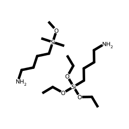 CCO[Si](CCCCN)(OCC)OCC.CO[Si](C)(C)CCCCN